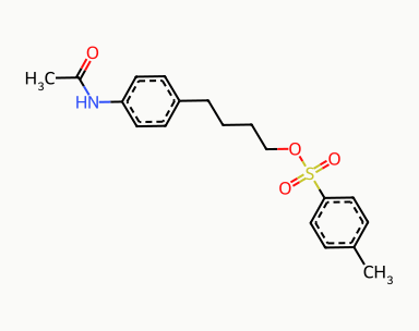 CC(=O)Nc1ccc(CCCCOS(=O)(=O)c2ccc(C)cc2)cc1